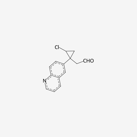 O=CCC1(c2ccc3ncccc3c2)CC1Cl